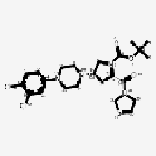 CC(C)(C)OC(=O)N1C[C@@H](N2CCN(c3ccc(Cl)c(Cl)c3)CC2)C[C@H]1C(=O)N1CCSC1